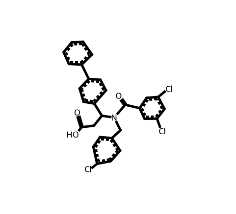 O=C(O)CC(c1ccc(-c2ccccc2)cc1)N(Cc1ccc(Cl)cc1)C(=O)c1cc(Cl)cc(Cl)c1